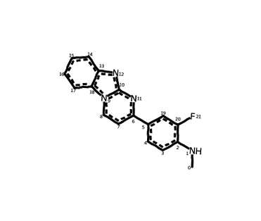 CNc1ccc(-c2ccn3c(n2)nc2ccccc23)cc1F